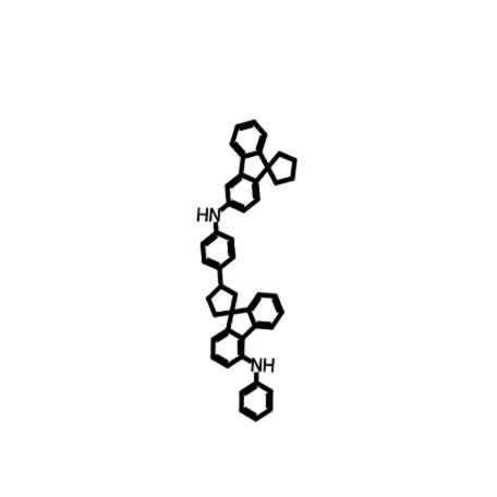 c1ccc(Nc2cccc3c2-c2ccccc2C32CCC(c3ccc(Nc4ccc5c(c4)-c4ccccc4C54CCCC4)cc3)C2)cc1